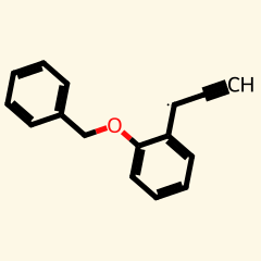 C#C[CH]c1ccccc1OCc1ccccc1